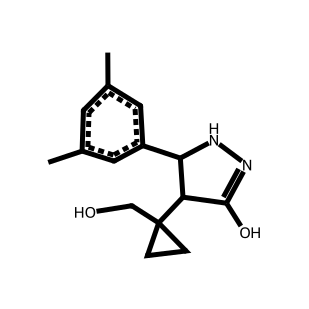 Cc1cc(C)cc(C2NN=C(O)C2C2(CO)CC2)c1